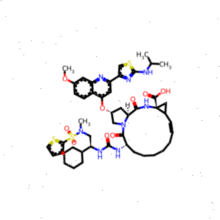 COc1ccc2c(O[C@@H]3C[C@H]4C(=O)N[C@]5(C(=O)O)CC5/C=C\CCCCC[C@H](NC(=O)N[C@H](CN(C)S(=O)(=O)c5cccs5)C5CCCCC5)C(=O)N4C3)cc(-c3csc(NC(C)C)n3)nc2c1